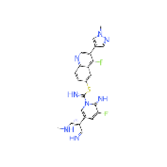 CN/C=C(\C=N)c1cc(F)c(=N)n(C(=N)Sc2ccc3ncc(-c4cnn(C)c4)c(F)c3c2)c1